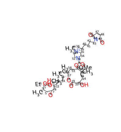 CC[C@H](O)[C@@H](C)[C@H]1O[C@@H]1C[C@@](C)(O)/C=C/C=C(\C)[C@H]1OC(=O)C[C@H](O)CC[C@@](C)(OC)[C@H](OC(=O)N2CC[N+](C)(CCCCCCN3C(=O)C=CC3=O)CC2)/C=C/[C@@H]1C